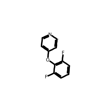 Fc1cccc(F)c1Oc1c[c]ncc1